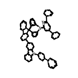 c1ccc(-c2ccc(-n3c4ccccc4c4cc(-c5ccc6c(c5)C5(c7ccccc7-6)c6ccccc6N(c6cc(-c7ccccc7)cc(-c7ccccc7)n6)c6ccccc65)ccc43)cc2)cc1